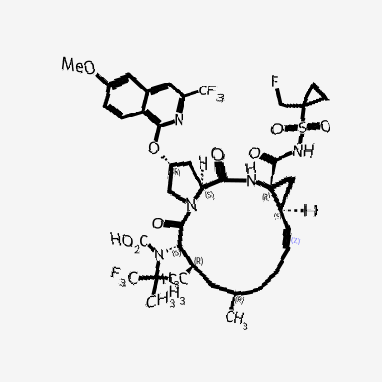 COc1ccc2c(O[C@@H]3C[C@H]4C(=O)N[C@]5(C(=O)NS(=O)(=O)C6(CF)CC6)C[C@H]5/C=C\CC[C@@H](C)C[C@@H](C)[C@H](N(C(=O)O)C(C)(C)C(F)(F)F)C(=O)N4C3)nc(C(F)(F)F)cc2c1